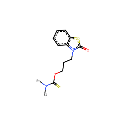 CCN(CC)C(=S)OCCCn1c(=O)sc2ccccc21